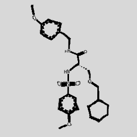 COc1ccc(CNC(=O)[C@H](COCC2CCCCC2)NS(=O)(=O)c2ccc(OC)cc2)cc1